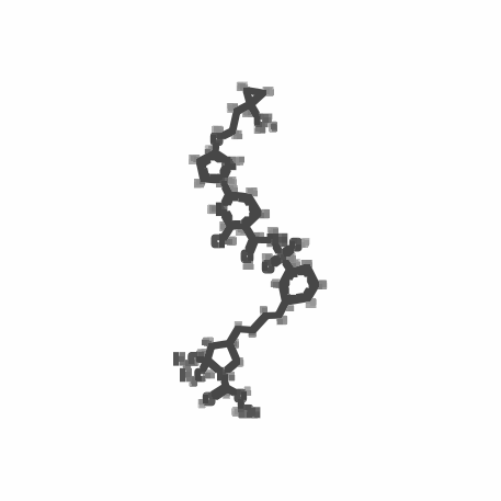 CC(C)(C)OC(=O)N1CC(CCCCc2cccc(S(=O)(=O)NC(=O)c3ccc(-n4ccc(OCCC5(C(F)(F)F)CC5)n4)nc3Cl)c2)CC1(C)C